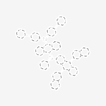 c1ccc(-c2ccc(N(c3ccc(-c4ccccc4)cc3)c3c4ccccc4c(N(c4ccccc4)c4ccc5c(-c6ccc7ccccc7c6)c6ccccc6c(-c6ccc7ccccc7c6)c5c4)c4ccccc34)cc2)cc1